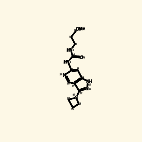 COCCNC(=O)Nc1cc2[nH]nc(N3CCC3)c2cn1